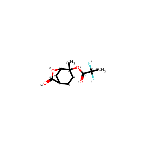 CC(F)(F)C(=O)OC1(C)CCC2CC1OC2=O